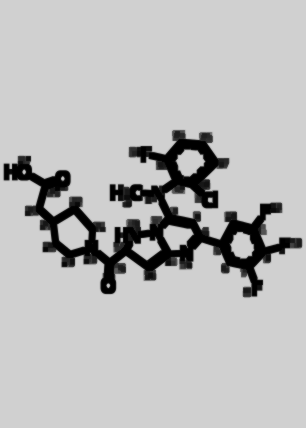 CN(C1=CC(c2cc(F)c(F)c(F)c2)=NC2=CC(C(=O)N3CCC(CC(=O)O)CC3)NN21)c1c(F)cccc1Cl